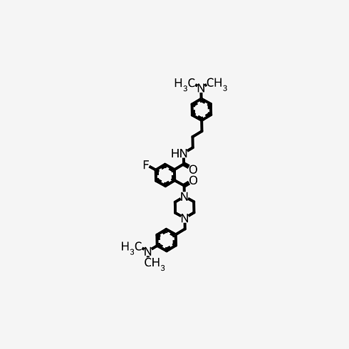 CN(C)c1ccc(CCCNC(=O)c2cc(F)ccc2C(=O)N2CCN(Cc3ccc(N(C)C)cc3)CC2)cc1